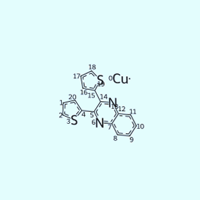 [Cu].c1csc(-c2nc3ccccc3nc2-c2cccs2)c1